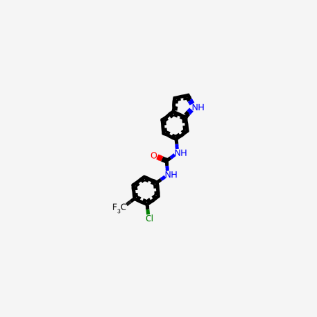 O=C(Nc1ccc(C(F)(F)F)c(Cl)c1)Nc1ccc2cc[nH]c2c1